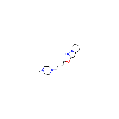 CN1CCN(CCCCOC2CC3CCCCN3N2)CC1